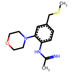 CSCc1ccc(NC(C)=N)c(N2CCOCC2)c1